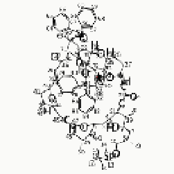 C=C1C2C[C@@H]3O[C@H](C[C@H](C)CO[Si](C)(C)C(C)(C)C)[C@H](C)C3CC(=O)C[C@H]3CC[C@@H]4O[C@@H]5[C@@H](OC(CC(=O)/C=C/C6CC(=C)[C@H](CC[C@@H](C[C@H]1C)O2)O6)[C@@H]5O[Si](c1ccccc1)(c1ccccc1)C(C)(C)C)[C@@H](O[Si](c1ccccc1)(c1ccccc1)C(C)(C)C)[C@H]4O3